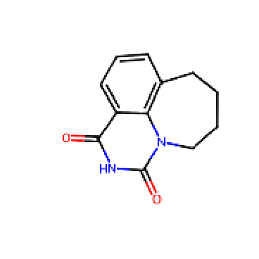 O=c1[nH]c(=O)n2c3c(cccc13)CCCC2